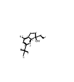 CCC1(O)CCc2c(F)cc(C(C)(C)C)nc21